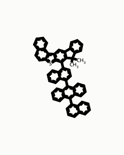 CC1(C)c2ccccc2-c2cc3c(sc4ccc5ccccc5c43)c(-c3ccc(-c4c5ccccc5c(-c5cccc6ccccc56)c5ccccc45)c4ccccc34)c21